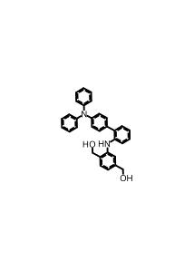 OCc1ccc(CO)c(Nc2ccccc2-c2ccc(N(c3ccccc3)c3ccccc3)cc2)c1